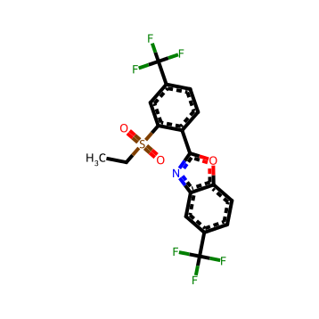 CCS(=O)(=O)c1cc(C(F)(F)F)ccc1-c1nc2cc(C(F)(F)F)ccc2o1